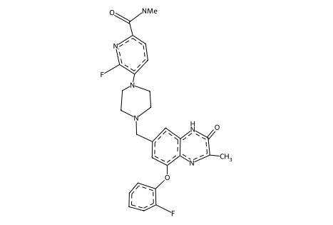 CNC(=O)c1ccc(N2CCN(Cc3cc(Oc4ccccc4F)c4nc(C)c(=O)[nH]c4c3)CC2)c(F)n1